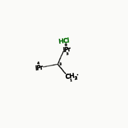 Cl.[CH2]C(C(C)C)C(C)C